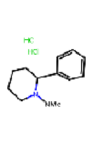 CNN1CCCCC1c1ccccc1.Cl.Cl